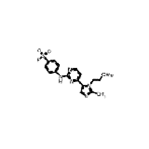 COCCn1c(-c2ccnc(Nc3ccc(S(=O)(=O)F)cc3)n2)cnc1C